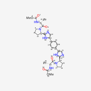 COC(=O)N[C@@H](C(=O)N1CCC[C@@H]1c1ncc(-c2ccc(-c3cnc([C@H]4CCCN4C(=O)[C@H](NC(=O)OC)C(C)C)[nH]3)cc2)[nH]1)C(C)C